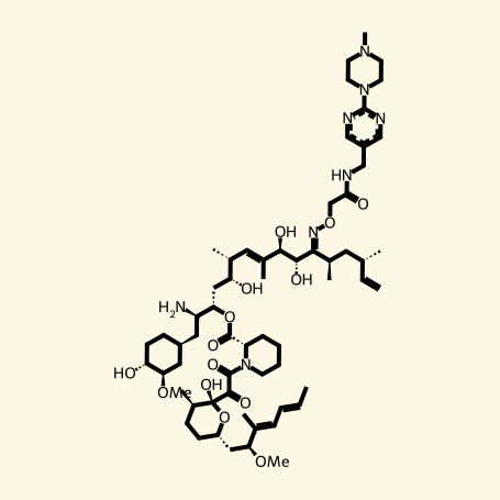 C=C[C@@H](C)C[C@@H](C)/C(=N\OCC(=O)NCc1cnc(N2CCN(C)CC2)nc1)[C@H](O)[C@H](O)/C(C)=C/[C@@H](C)[C@H](O)C[C@H](OC(=O)[C@@H]1CCCCN1C(=O)C(=O)[C@]1(O)O[C@H](C[C@H](OC)/C(C)=C/C=C/C)CC[C@H]1C)[C@H](N)C[C@@H]1CC[C@@H](O)[C@H](OC)C1